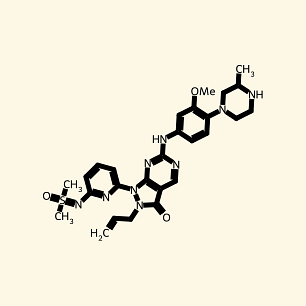 C=CCn1c(=O)c2cnc(Nc3ccc(N4CCNC(C)C4)c(OC)c3)nc2n1-c1cccc(N=S(C)(C)=O)n1